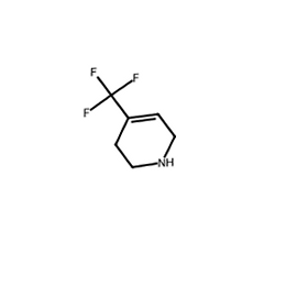 FC(F)(F)C1=CCNCC1